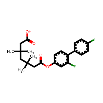 CC(C)(CC(=O)O)CC(C)(C)CC(=O)Oc1ccc(-c2ccc(F)cc2)c(F)c1